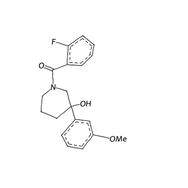 COc1cccc(C2(O)CCCN(C(=O)c3ccccc3F)C2)c1